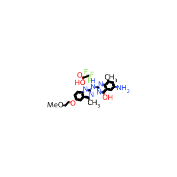 COCCOc1ccc2nc(Nc3nc(O)c4cc(N)cc(C)c4n3)nc(C)c2c1.O=C(O)C(F)(F)F